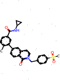 Cc1ccc(C(=O)NC2CC2)cc1-c1ccc2c(=O)n(Cc3ccc(S(C)(=O)=O)cc3)ccc2c1